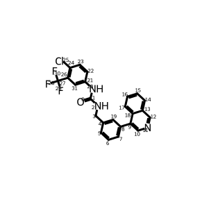 O=C(NCc1cccc(-c2cncc3ccccc23)c1)Nc1ccc(Cl)c(C(F)(F)F)c1